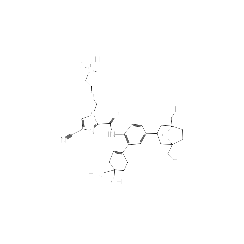 CC1(C)CC=C(c2cc(C3CC4(CF)CCC(CF)(C3)O4)ccc2NC(=O)c2nc(C#N)cn2COCC[Si](C)(C)C)CC1